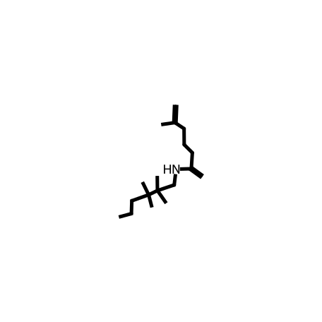 C=C(C)CCCC(=C)NCC(C)(C)C(C)(C)CCC